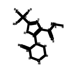 CNC(=O)c1nc(C(F)(F)F)sc1N1CCOCC1=O